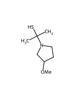 COC1CCN(C(C)(C)S)C1